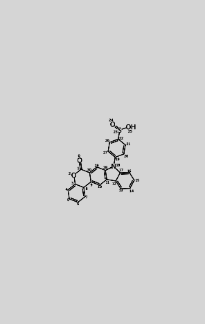 O=c1oc2ccccc2c2cc3c4ccccc4n(-c4ccc(S(=O)O)cc4)c3cc12